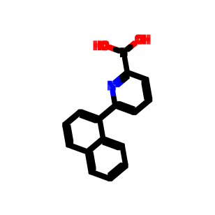 OB(O)c1cccc(-c2cccc3ccccc23)n1